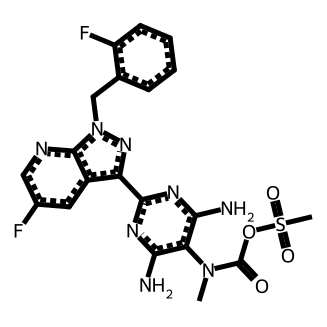 CN(C(=O)OS(C)(=O)=O)c1c(N)nc(-c2nn(Cc3ccccc3F)c3ncc(F)cc23)nc1N